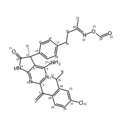 C=C(c1nc(N)c2c(n1)NC(=O)[C@@]2(C)c1ccc(CC/C(C)=N/OC=O)cc1)c1ccc(Cl)cc1C(C)C